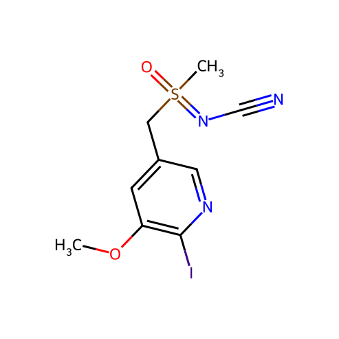 COc1cc(CS(C)(=O)=NC#N)cnc1I